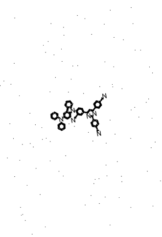 N#Cc1ccc(-c2cc(-c3ccc(-n4c5ccccc5c5cc(N(c6ccccc6)c6ccccc6)ccc54)c(C#N)c3)nc(-c3ccc(C#N)cc3)n2)cc1